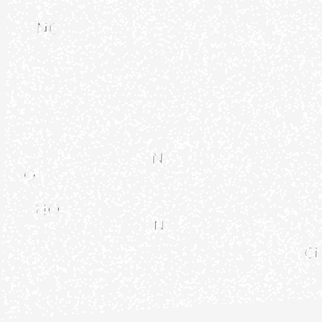 N#Cc1ccc2c(c1)C(=O)[C@]1(O)CCN(c3ccc(Cl)cc3)C1=N2